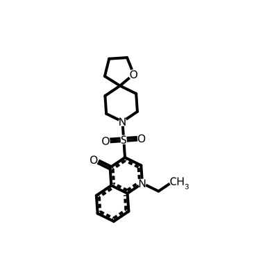 CCn1cc(S(=O)(=O)N2CCC3(CCCO3)CC2)c(=O)c2ccccc21